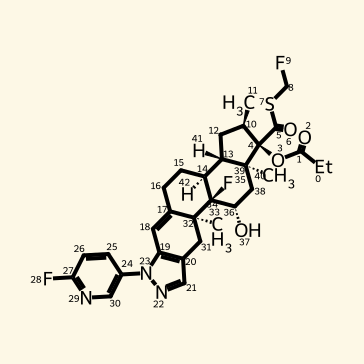 CCC(=O)O[C@]1(C(=O)SCF)[C@H](C)C[C@H]2[C@@H]3CCC4=Cc5c(cnn5-c5ccc(F)nc5)C[C@]4(C)[C@@]3(F)[C@@H](O)C[C@@]21C